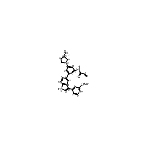 C=CC(=O)Nc1cc(-c2cnc3[nH]cc(-c4ccnc(OC)c4)c3c2)cc(N2CC[C@@H](N)C2)c1